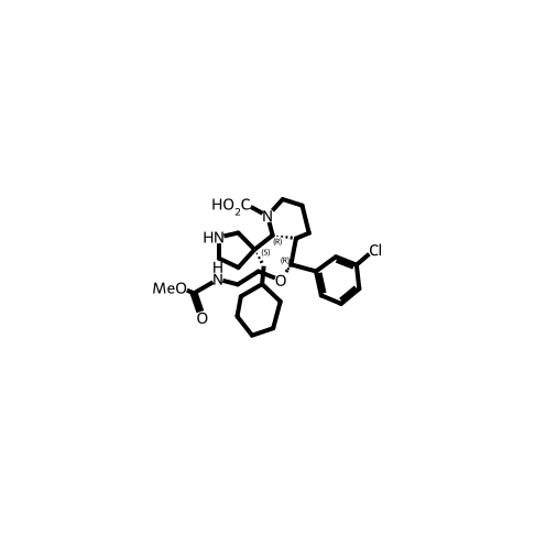 COC(=O)NCCO[C@@H](c1cccc(Cl)c1)C1CCCN(C(=O)O)[C@H]1[C@@]1(CC2CCCCC2)CCNC1